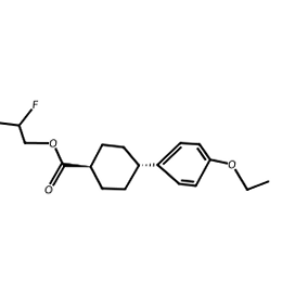 CCOc1ccc([C@H]2CC[C@H](C(=O)OCC(F)F)CC2)cc1